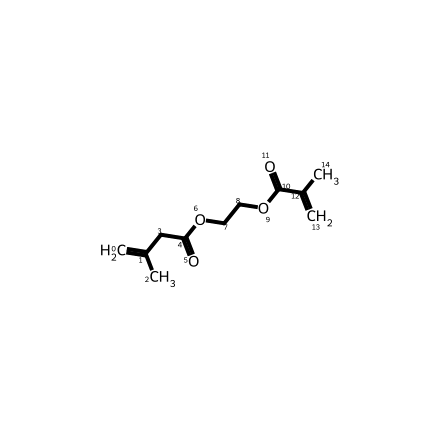 C=C(C)CC(=O)OCCOC(=O)C(=C)C